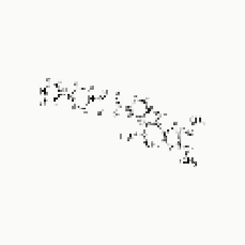 COc1ccc(-c2[nH]c3ccc(N4CCC(N5CCN(c6ccncc6)CC5)CC4)cc3c2C(C)C)cc1OC